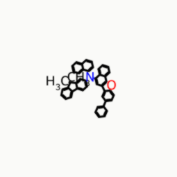 CC1(C)c2ccccc2-c2ccc(N(c3cccc4ccccc34)c3cc4c5cc(-c6ccccc6)ccc5oc4c4ccccc34)cc21